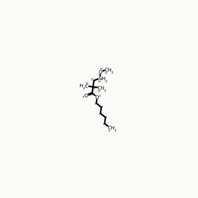 CCCCCCOC(=O)C(C)(C)C[SiH2]OC